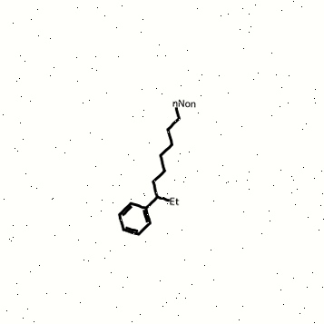 CCCCCCCCCCCCCCCC(CC)c1ccccc1